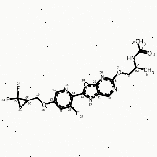 CC(=O)N[C@@H](C)COc1ncc2nc(-c3ncc(OC[C@H]4CC4(F)F)cc3F)oc2n1